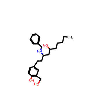 CCCCCC(O)CC(CCc1ccc(O)c(CO)c1)NCc1ccccc1